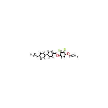 CCOC1CC=C(OCC2CCC(C3CCC(CC)CC3)CC2)C(F)=C1F